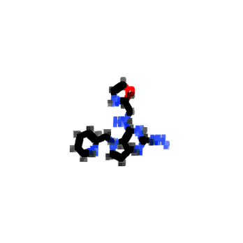 Nc1nc(NCc2ncco2)c2c(ccn2Cc2ccccn2)n1